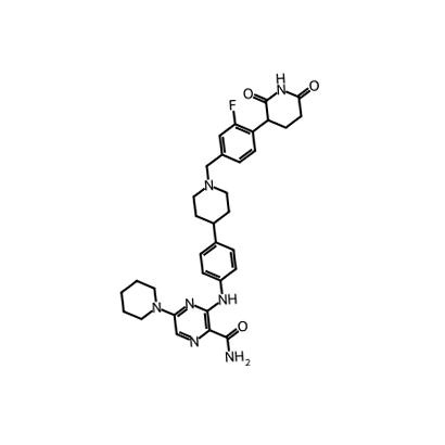 NC(=O)c1ncc(N2CCCCC2)nc1Nc1ccc(C2CCN(Cc3ccc(C4CCC(=O)NC4=O)c(F)c3)CC2)cc1